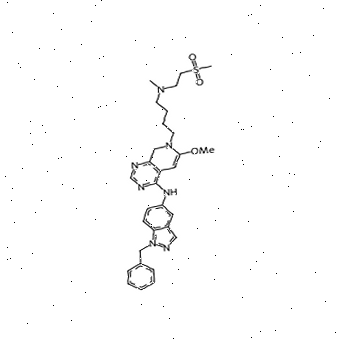 COC1=Cc2c(ncnc2Nc2ccc3c(cnn3Cc3ccccc3)c2)CN1CCCCN(C)CCS(C)(=O)=O